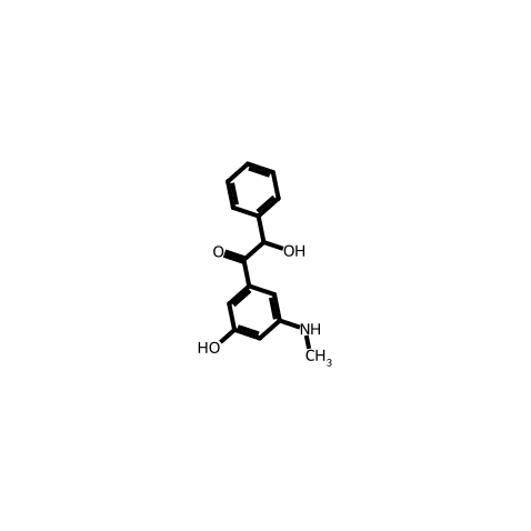 CNc1cc(O)cc(C(=O)C(O)c2ccccc2)c1